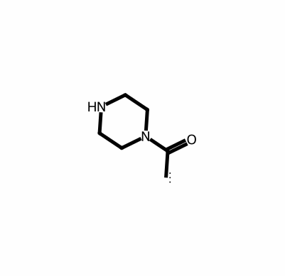 [C]C(=O)N1CCNCC1